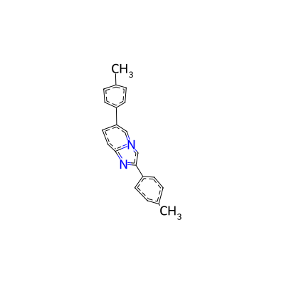 Cc1ccc(-c2ccc3nc(-c4ccc(C)cc4)cn3c2)cc1